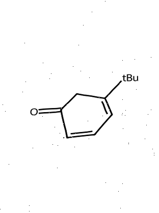 CC(C)(C)C1=CC=[C]C(=O)C1